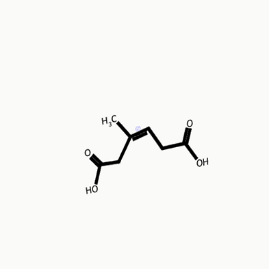 C/C(=C/CC(=O)O)CC(=O)O